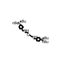 CCCCN(CCCC)c1ccc(CNCCOCCNCc2ccc(N(CCCC)CCCC)cc2)cc1